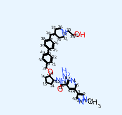 Cn1cc(-c2cnc(N)c(C(=O)N[C@H]3CCCC3OCc3ccc(-c4ccc(CC5CCN(CCO)CC5)cc4)cc3)c2)cn1